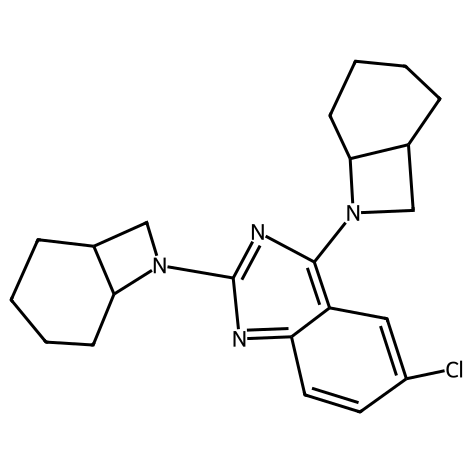 Clc1ccc2nc(N3CC4CCCCC43)nc(N3CC4CCCCC43)c2c1